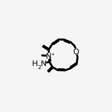 C=C1/C=C\C=C/COC/C=C\C=C/C(=C)/[N+](C)=C\1N